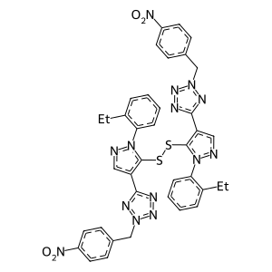 CCc1ccccc1-n1ncc(-c2nnn(Cc3ccc([N+](=O)[O-])cc3)n2)c1SSc1c(-c2nnn(Cc3ccc([N+](=O)[O-])cc3)n2)cnn1-c1ccccc1CC